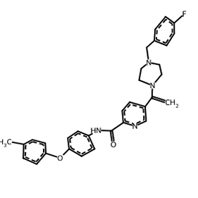 C=C(c1ccc(C(=O)Nc2ccc(Oc3ccc(C)cc3)cc2)nc1)N1CCN(Cc2ccc(F)cc2)CC1